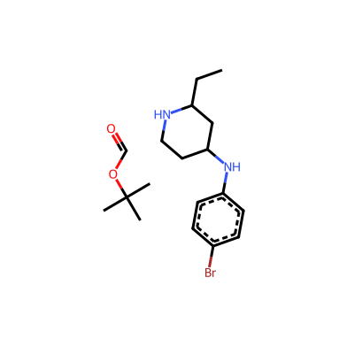 CC(C)(C)OC=O.CCC1CC(Nc2ccc(Br)cc2)CCN1